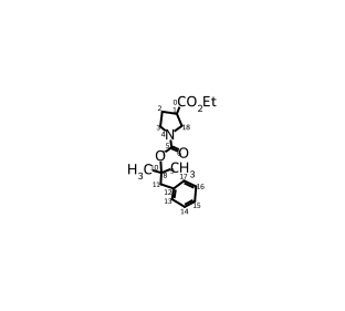 CCOC(=O)C1CCN(C(=O)OC(C)(C)Cc2ccccc2)C1